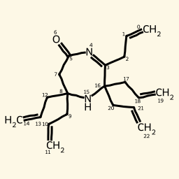 C=CCC1=NC(=O)CC(CC=C)(CC=C)NC1(CC=C)CC=C